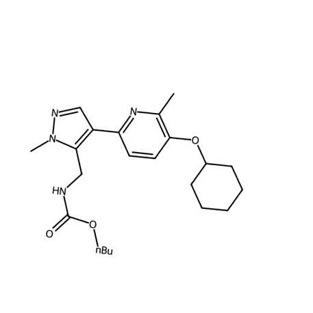 CCCCOC(=O)NCc1c(-c2ccc(OC3CCCCC3)c(C)n2)cnn1C